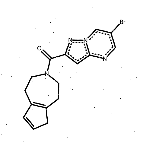 O=C(c1cc2ncc(Br)cn2n1)N1CCC2=C(CC=C2)CC1